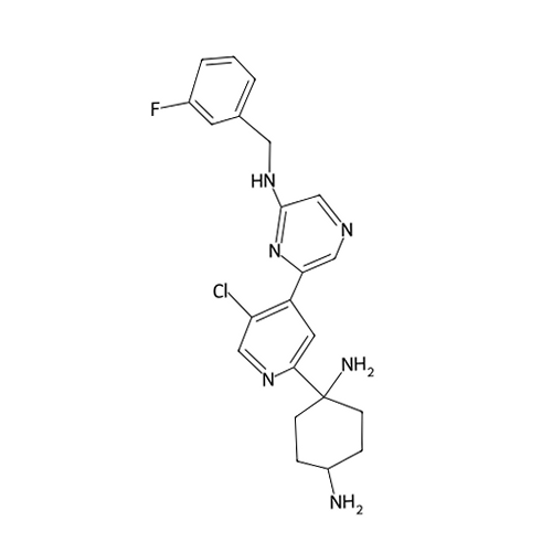 NC1CCC(N)(c2cc(-c3cncc(NCc4cccc(F)c4)n3)c(Cl)cn2)CC1